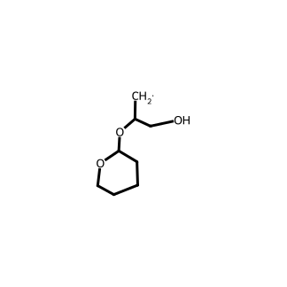 [CH2]C(CO)OC1CCCCO1